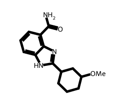 COC1CCCC(c2nc3c(C(N)=O)cccc3[nH]2)C1